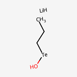 CCC[Te]O.[LiH]